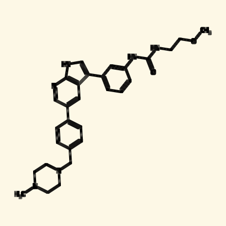 COCCNC(=O)Nc1cccc(-c2c[nH]c3ncc(-c4ccc(CN5CCN(C)CC5)cc4)cc23)c1